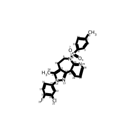 Cc1ccc(S(=O)(=O)N2CCc3c(nn(-c4ccc(F)c(Cl)c4)c3C)-c3cccnc32)cc1